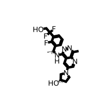 Cc1nnc(N[C@H](C)c2cccc(C(F)(F)CO)c2F)c2cc(N3CC[C@H](O)C3)cnc12